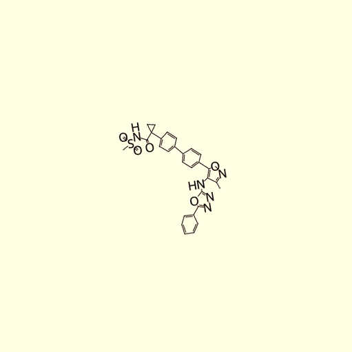 Cc1noc(-c2ccc(-c3ccc(C4(C(=O)NS(C)(=O)=O)CC4)cc3)cc2)c1Nc1nnc(-c2ccccc2)o1